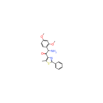 COc1[c]c(OC)c(C(N)C(=O)c2nc(-c3ccccc3)sc2C)cc1